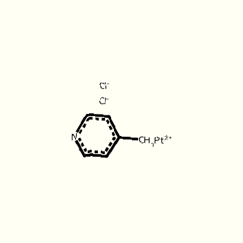 Cc1ccncc1.[Cl-].[Cl-].[Pt+2]